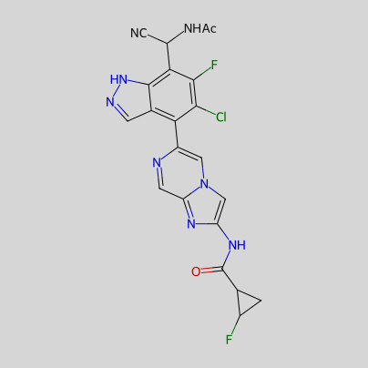 CC(=O)NC(C#N)c1c(F)c(Cl)c(-c2cn3cc(NC(=O)C4CC4F)nc3cn2)c2cn[nH]c12